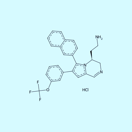 Cl.NCC[C@H]1CN=Cc2cc(-c3cccc(OC(F)(F)F)c3)c(-c3ccc4ccccc4c3)n21